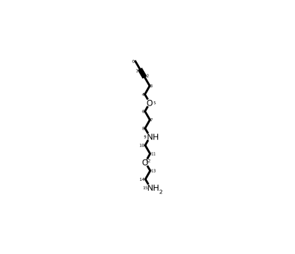 CC#CCCOCCCNCCOCCN